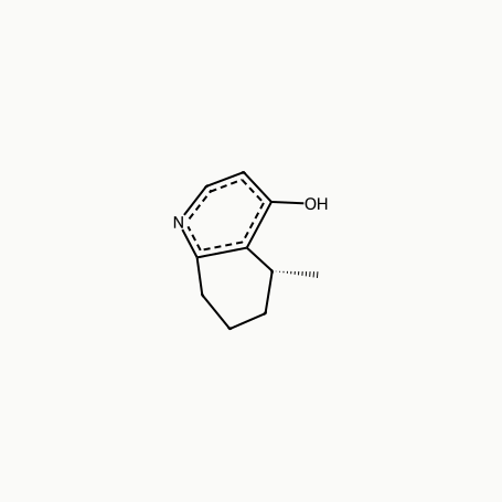 C[C@@H]1CCCc2nccc(O)c21